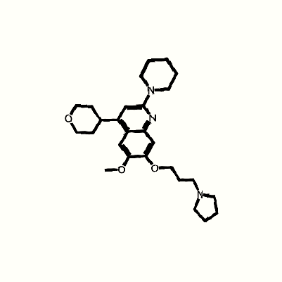 COc1cc2c(C3CCOCC3)cc(N3CCCCC3)nc2cc1OCCCN1CCCC1